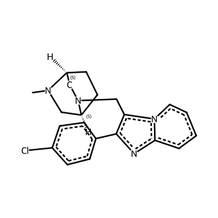 CN1C[C@@H]2CC[C@H]1CN2Cc1c(-c2ccc(Cl)cc2)nc2ccccn12